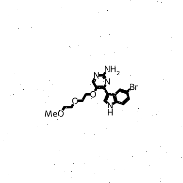 COCCOCCOc1cnc(N)nc1-c1c[nH]c2ccc(Br)cc12